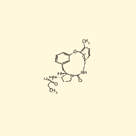 CCS(=O)(=O)N[C@H]1CCN2C(=O)NCc3ccc(C)c(n3)Oc3cccc(c3)C[C@@H]12